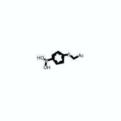 CC(=O)CSc1ccc(B(O)O)cc1